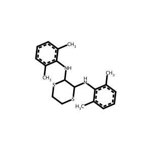 Cc1cccc(C)c1NC1SCCSC1Nc1c(C)cccc1C